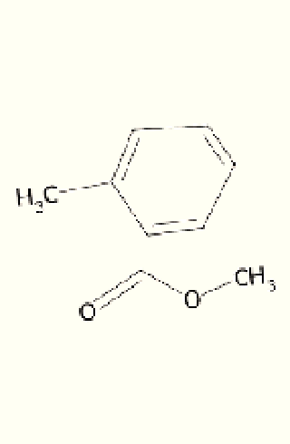 COC=O.Cc1ccccc1